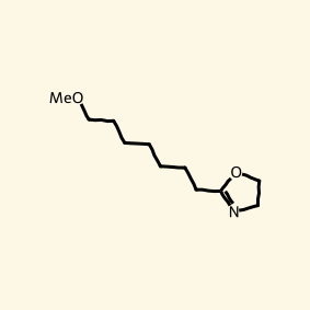 COCCCCCCCC1=NCCO1